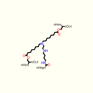 CCCCCCCCC(CCCCCC)COC(=O)CCCCCCCN(CCCCCCCC(=O)OCC(CCCCCC)CCCCCCCC)CCNCCCCNC(=O)CCCCCCC